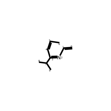 C=C/N=C(\C=C/C)C(C)C